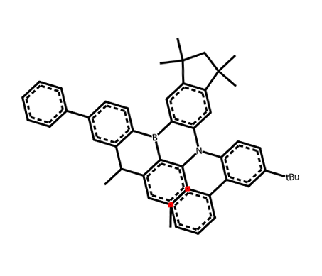 Cc1cc2c3c(c1)N(c1ccc(C(C)(C)C)cc1-c1ccccc1)c1cc4c(cc1B3c1ccc(-c3ccccc3)cc1C2C)C(C)(C)CC4(C)C